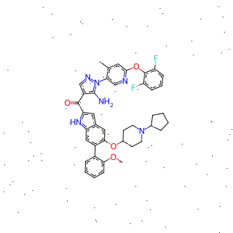 COc1ccccc1-c1cc2[nH]c(C(=O)c3cnn(-c4cnc(Oc5c(F)cccc5F)cc4C)c3N)cc2cc1OC1CCN(C2CCCC2)CC1